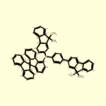 CC1(C)C2=CC(N(c3ccc(-c4ccc5c(c4)C(C)(C)c4ccccc4-5)cc3)c3cccc4c3-c3ccccc3C43c4ccccc4-c4ccccc43)=CCC2c2ccccc21